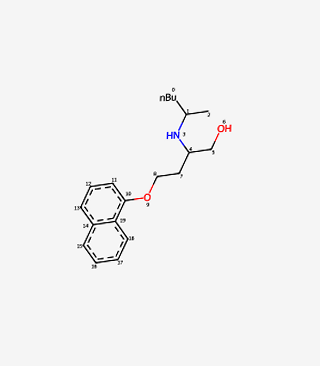 CCCCC(C)NC(CO)CCOc1cccc2ccccc12